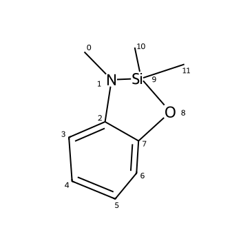 CN1c2ccccc2O[Si]1(C)C